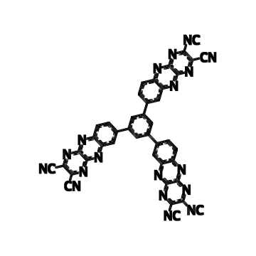 [C-]#[N+]c1nc2nc3ccc(-c4cc(-c5ccc6nc7nc(C#N)c(C#N)nc7nc6c5)cc(-c5ccc6nc7nc([N+]#[C-])c([N+]#[C-])nc7nc6c5)c4)cc3nc2nc1C#N